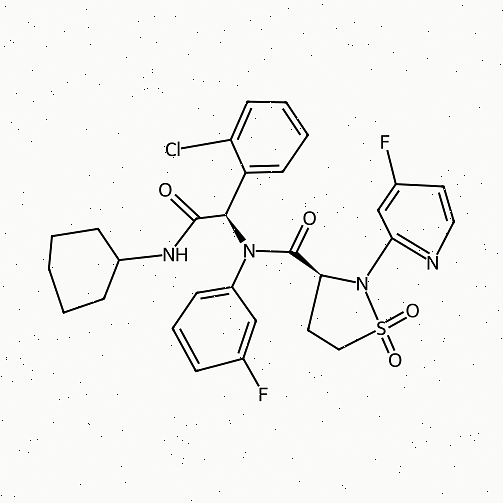 O=C(NC1CCCCC1)[C@@H](c1ccccc1Cl)N(C(=O)[C@@H]1CCS(=O)(=O)N1c1cc(F)ccn1)c1cccc(F)c1